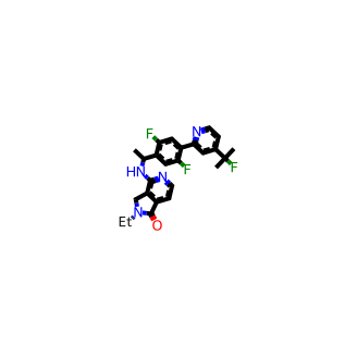 CCN1Cc2c(ccnc2NC(C)c2cc(F)c(-c3cc(C(C)(C)F)ccn3)cc2F)C1=O